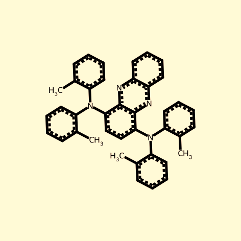 Cc1ccccc1N(c1ccccc1C)c1ccc(N(c2ccccc2C)c2ccccc2C)c2nc3ccccc3nc12